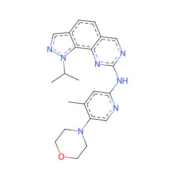 Cc1cc(Nc2ncc3ccc4cnn(C(C)C)c4c3n2)ncc1N1CCOCC1